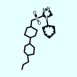 CCCC1CCC(C2CCC(CS(=O)(=O)c3nncn3-c3ccccc3)CC2)CC1